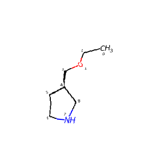 CCOC[C@@H]1CCNC1